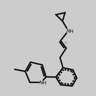 CC1=CC=C(c2ccccc2C/C=C/NC2CC2)NC1